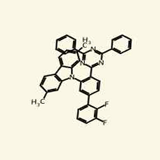 Cc1ccc2c3ccc(C)cc3n(-c3cc(-c4cccc(F)c4F)ccc3-c3nc(-c4ccccc4)nc(-c4ccccc4)n3)c2c1